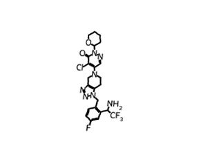 NC(c1cc(F)ccc1Cn1nnc2c1CCN(c1cnn(C3CCCCO3)c(=O)c1Cl)C2)C(F)(F)F